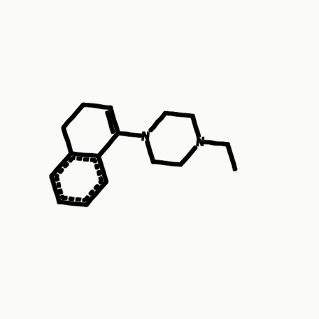 CCN1CCN(C2=CCCc3ccccc32)CC1